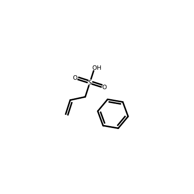 C=CCS(=O)(=O)O.c1ccccc1